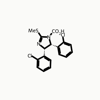 CSC1=N[C@@H](c2ccccc2Cl)[C@@H](c2ccccc2Cl)N1C(=O)O